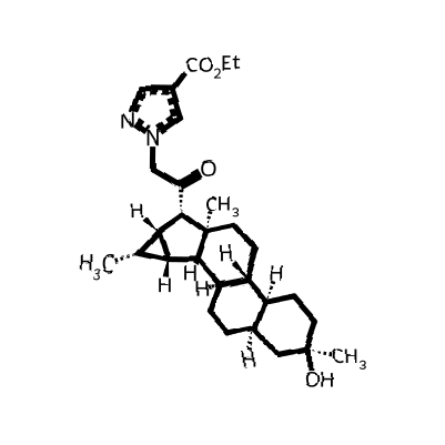 CCOC(=O)c1cnn(CC(=O)[C@H]2[C@H]3[C@@H](C)[C@H]3[C@H]3[C@@H]4CC[C@@H]5C[C@](C)(O)CC[C@@H]5[C@H]4CC[C@@]32C)c1